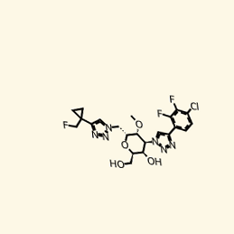 CO[C@@H]1[C@@H](n2cc(-c3ccc(Cl)c(F)c3F)nn2)[C@@H](O)[C@@H](CO)O[C@@H]1Cn1cc(C2(CF)CC2)nn1